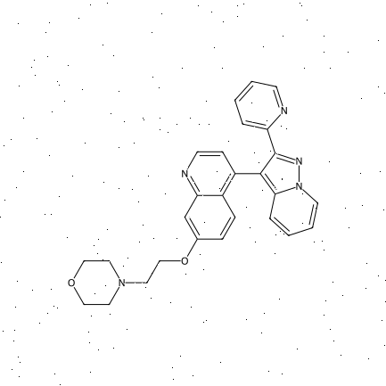 c1ccc(-c2nn3ccccc3c2-c2ccnc3cc(OCCN4CCOCC4)ccc23)nc1